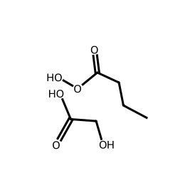 CCCC(=O)OO.O=C(O)CO